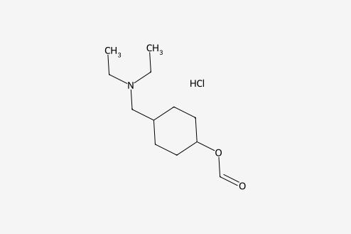 CCN(CC)CC1CCC(OC=O)CC1.Cl